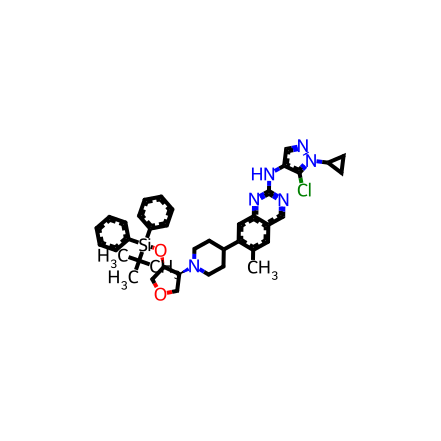 Cc1cc2cnc(Nc3cnn(C4CC4)c3Cl)nc2cc1C1CCN([C@H]2COC[C@H]2O[Si](c2ccccc2)(c2ccccc2)C(C)(C)C)CC1